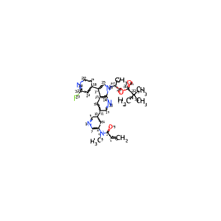 C=CC(=O)N(C)c1cncc(-c2cnc3c(c2)c(-c2ccnc(F)c2)cn3C(C)OC(=O)C(C)(C)C)c1